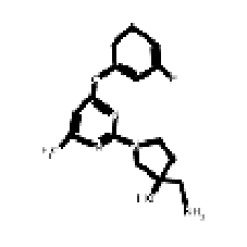 NCC1(O)CCN(c2nc(OC3=CC(F)=CCC3)cc(C(F)(F)F)n2)C1